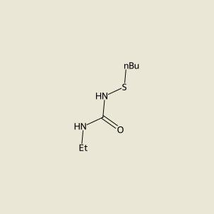 CCCCSNC(=O)NCC